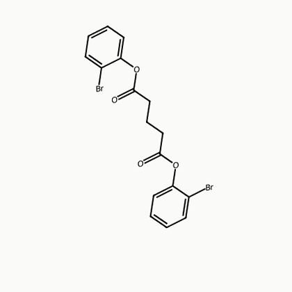 O=C(CCCC(=O)Oc1ccccc1Br)Oc1ccccc1Br